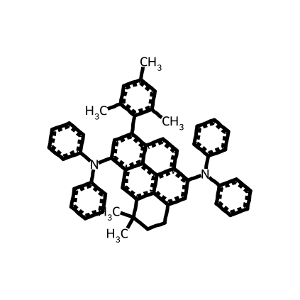 Cc1cc(C)c(-c2cc(N(c3ccccc3)c3ccccc3)c3cc4c5c(cc(N(c6ccccc6)c6ccccc6)c6ccc2c3c65)CCC4(C)C)c(C)c1